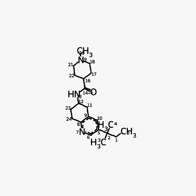 CCC(C)(C)c1cnc2c(c1)CC(NC(=O)C1CCN(C)CC1)CC2